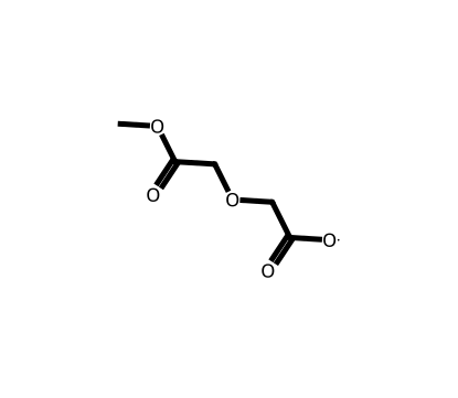 COC(=O)COCC([O])=O